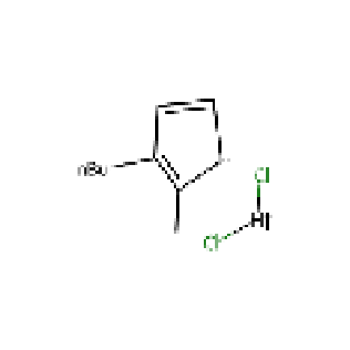 CCCCC1=C(C)[CH]C=C1.[Cl][Hf][Cl]